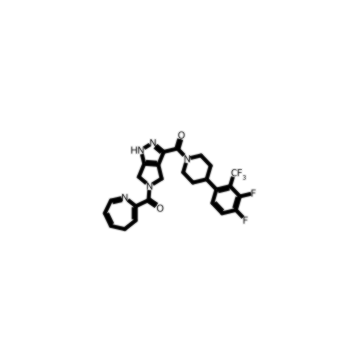 O=C(C1=CCC=CC=N1)N1Cc2[nH]nc(C(=O)N3CCC(c4ccc(F)c(F)c4C(F)(F)F)CC3)c2C1